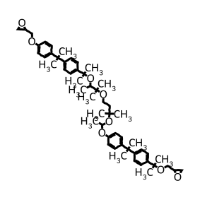 CC(Oc1ccc(C(C)(C)c2ccc(C(C)(C)OCC3CO3)cc2)cc1)OC(C)(C)CCOC(C)(C)C(C)OC(C)(C)c1ccc(C(C)(C)c2ccc(OCC3CO3)cc2)cc1